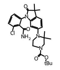 CC(C)(C)OC(=O)N1CCN(c2ccc3c(c2)N(c2cccc(Cl)c2C(N)=O)C(=O)C3(C)C)C(C)(C)C1